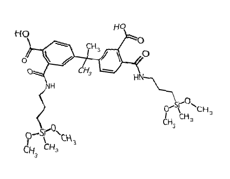 CO[Si](C)(CCCNC(=O)c1ccc(C(C)(C)c2ccc(C(=O)O)c(C(=O)NCCC[Si](C)(OC)OC)c2)cc1C(=O)O)OC